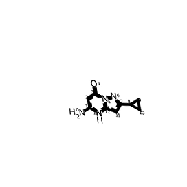 Nc1cc(=O)n2nc(C3CC3)cc2[nH]1